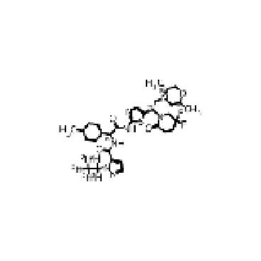 [2H]C([2H])([2H])C([2H])([2H])n1nccc1C(=O)N[C@H](C(=O)Nc1ncc([C@@H](CN2C[C@@H](C)OC[C@H]2C)N2CC(F)(F)CCC2=O)s1)C1CCC(C)CC1